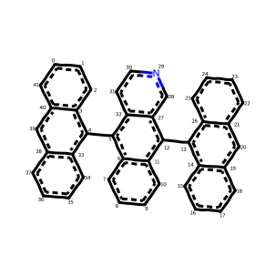 c1ccc2c(-c3c4ccccc4c(-c4c5ccccc5cc5ccccc45)c4cnccc34)c3ccccc3cc2c1